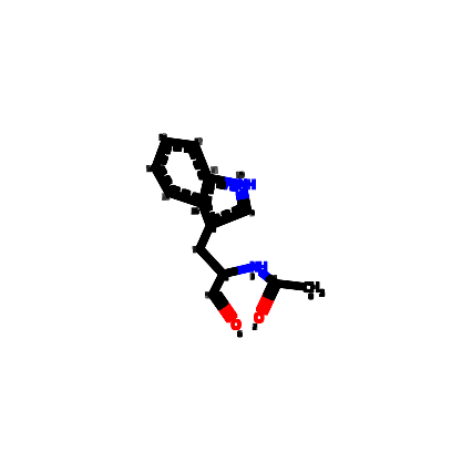 CC(=O)NC(C=O)Cc1c[nH]c2ccccc12